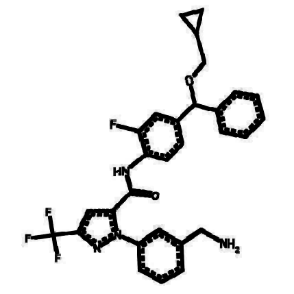 NCc1cccc(-n2nc(C(F)(F)F)cc2C(=O)Nc2ccc(C(OCC3CC3)c3ccccc3)cc2F)c1